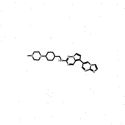 CN1CCN(C2CCC(CNc3ncc4c(-c5cnc6nccn6c5)ccn4n3)CC2)CC1